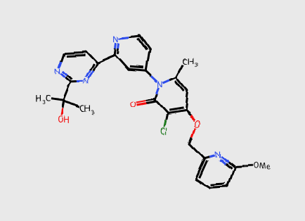 COc1cccc(COc2cc(C)n(-c3ccnc(-c4ccnc(C(C)(C)O)n4)c3)c(=O)c2Cl)n1